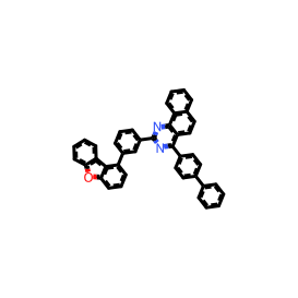 c1ccc(-c2ccc(-c3nc(-c4cccc(-c5cccc6oc7ccccc7c56)c4)nc4c3ccc3ccccc34)cc2)cc1